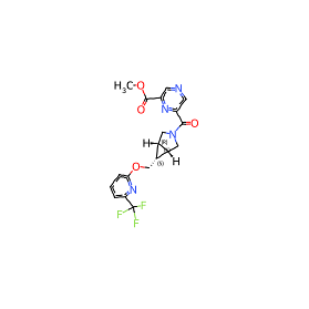 COC(=O)c1cncc(C(=O)N2C[C@@H]3[C@H](COc4cccc(C(F)(F)F)n4)[C@@H]3C2)n1